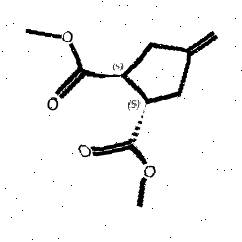 C=C1C[C@H](C(=O)OC)[C@@H](C(=O)OC)C1